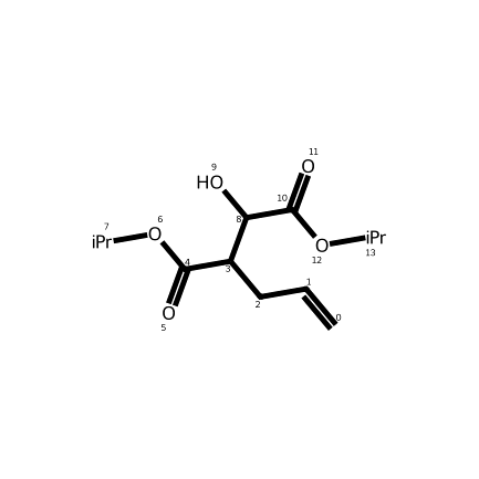 C=CCC(C(=O)OC(C)C)C(O)C(=O)OC(C)C